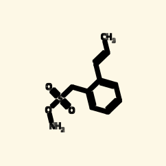 CC=Cc1ccccc1CS(=O)(=O)ON